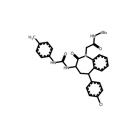 Cc1ccc(NC(=O)NC2CC(c3ccc(Cl)cc3)c3ccccc3N(CC(=O)NC(C)(C)C)C2=O)cc1